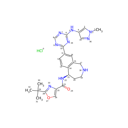 Cl.Cn1cc(Nc2ncnc(-c3ccc4c(c3)CNCC[C@H]4NC(=O)c3coc(C(C)(C)C)n3)n2)cn1